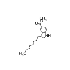 CCCCCCCCC1CNc2ccc(C(=O)OC)cc21